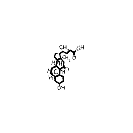 C[C@H](CCC(=O)O)[C@H]1CC[C@H]2[C@@H]3CC[C@@H]4C[C@H](O)CC[C@]4(C)[C@H]3C(=O)C[C@]12C